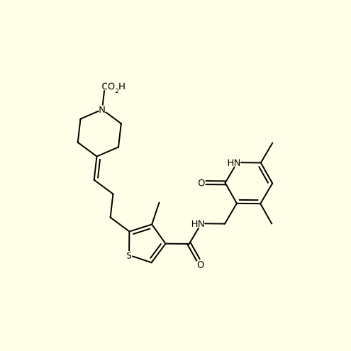 Cc1cc(C)c(CNC(=O)c2csc(CCC=C3CCN(C(=O)O)CC3)c2C)c(=O)[nH]1